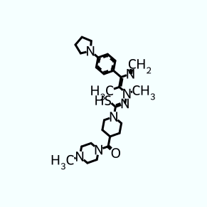 C=N/C(=C(/C)N(C)/N=C(\S)N1CCC(C(=O)N2CCN(C)CC2)CC1)c1ccc(N2CCCC2)cc1